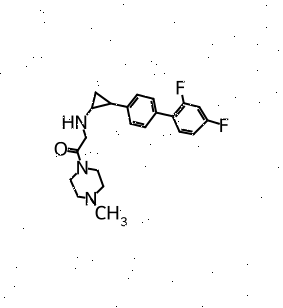 CN1CCN(C(=O)CNC2CC2c2ccc(-c3ccc(F)cc3F)cc2)CC1